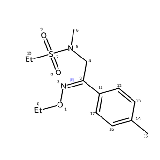 CCO/N=C(/CN(C)S(=O)(=O)CC)c1ccc(C)cc1